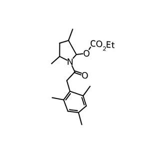 CCOC(=O)OC1C(C)CC(C)N1C(=O)Cc1c(C)cc(C)cc1C